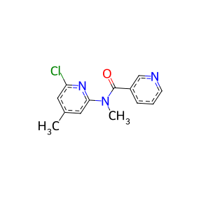 Cc1cc(Cl)nc(N(C)C(=O)c2cccnc2)c1